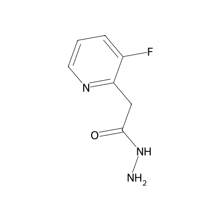 NNC(=O)Cc1ncccc1F